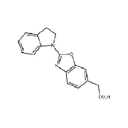 O=C(O)Cc1ccc2nc(N3CCc4ccccc43)oc2c1